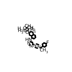 C[C@@H](c1ccc(F)cc1)N1CCN(c2cc(Nc3cccc4c3C[C@H](O[Si](C)(C)C(C)(C)C)CC4)ncn2)CC1